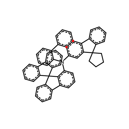 c1ccc(-c2ccccc2N(c2ccc3c(c2)C2(CCCC2)c2ccccc2-3)c2cccc3c2C2(c4ccccc4-c4ccccc42)c2ccccc2-3)cc1